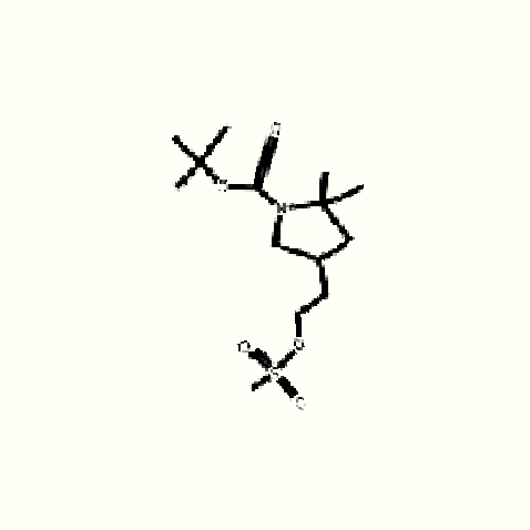 CC(C)(C)OC(=O)N1CC(CCOS(C)(=O)=O)CC1(C)C